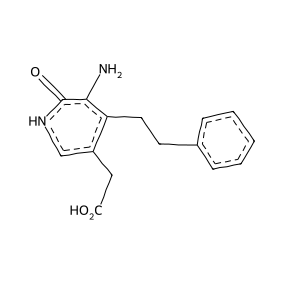 Nc1c(CCc2ccccc2)c(CC(=O)O)c[nH]c1=O